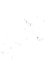 O=Cc1c(O)cccc1OCC1CCNCC1c1ccnn1C1CCC1